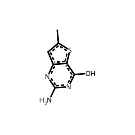 Cc1cc2nc(N)nc(O)c2s1